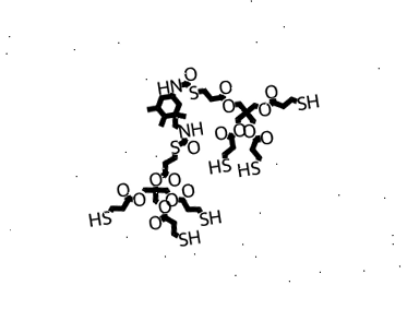 CC1CC(NC(=O)SCCC(=O)OCC(COC(=O)CCS)(COC(=O)CCS)COC(=O)CCS)CC(C)(CNC(=O)SCCC(=O)OC(COC(=O)CCS)(COC(=O)CCS)COC(=O)CCS)C1C